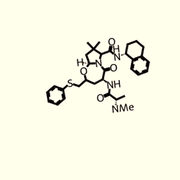 CN[C@@H](C)C(=O)N[C@H]1CC(CSc2ccccc2)O[C@H]2CC(C)(C)C(C(=O)N[C@@H]3CCCc4ccccc43)N2C1=O